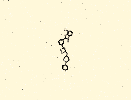 Clc1cccc2[nH]c(-c3cccc(C4=NC(CC5CCN(c6ccncc6)CC5)N=N4)c3)nc12